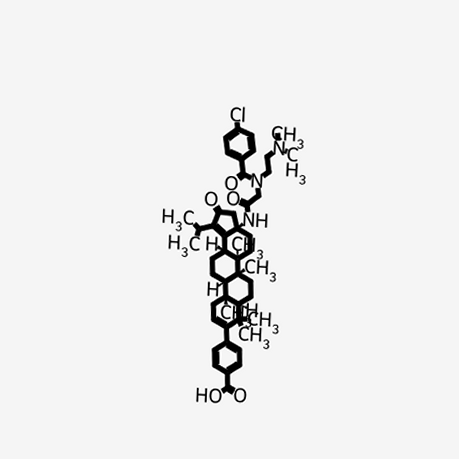 CC(C)C1=C2[C@H]3CC[C@@H]4[C@@]5(C)CC=C(c6ccc(C(=O)O)cc6)C(C)(C)[C@@H]5CC[C@@]4(C)[C@]3(C)CC[C@@]2(NC(=O)CN(CCN(C)C)C(=O)c2ccc(Cl)cc2)CC1=O